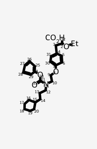 CCOC(Cc1ccc(OCCN(CCCC2CCCCC2)C(=O)Oc2ccccc2)cc1)C(=O)O